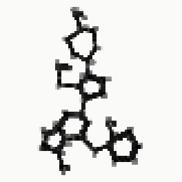 COCc1c(-c2cc(Sc3ccccc3C#N)c3c(C#N)cnn3c2)cnn1C1CCN(C)CC1